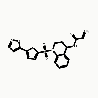 C=CC(=O)NC1CCN(S(=O)(=O)c2ccc(-c3ccno3)s2)c2ccccc21